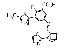 Cc1cnc(-c2cc(OCC34CC(CC3c3ncco3)C4)cc(C(=O)O)c2F)s1